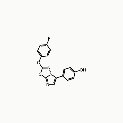 Oc1ccc(-c2cnc3sc(Oc4ccc(F)cc4)nn23)cc1